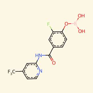 O=C(Nc1cc(C(F)(F)F)ccn1)c1ccc(OB(O)O)c(F)c1